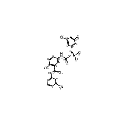 N#Cc1cccc(NC(=O)c2cc(NC(=O)[C@H]3[C@H](c4cc(Cl)cc(Cl)c4)C3(Cl)Cl)ccc2Cl)c1